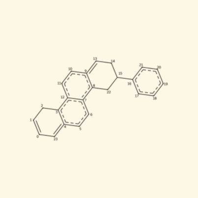 C1=CCc2c(ccc3c4c(ccc23)=CCC(c2ccccc2)C4)=C1